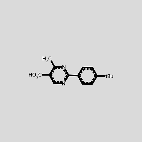 Cc1nc(-c2ccc(C(C)(C)C)cc2)ncc1C(=O)O